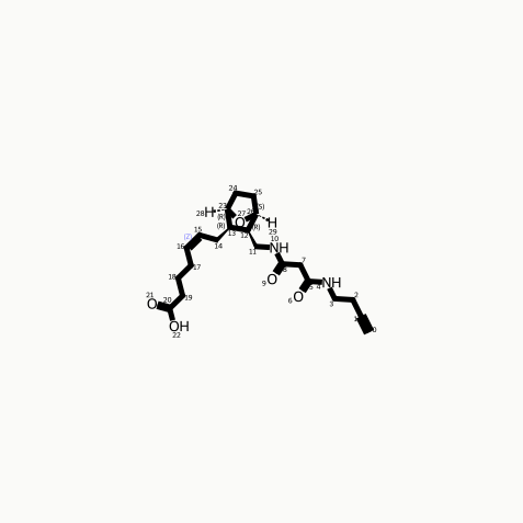 C#CCCNC(=O)CC(=O)NC[C@H]1[C@@H](C/C=C\CCCC(=O)O)[C@H]2CC[C@@H]1O2